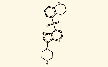 O=S(=O)(c1cccc2c1OCCO2)c1ccnc2c(N3CCNCC3)c[nH]c12